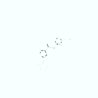 CSc1nsc(NC(=O)c2cc(C3CCCN3C(=O)O)sc2C)n1